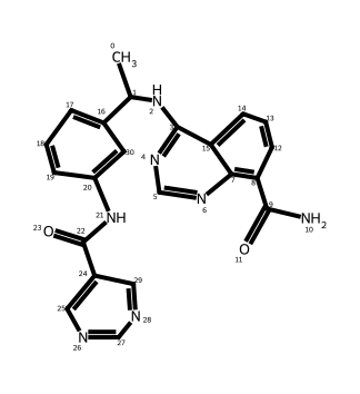 CC(Nc1ncnc2c(C(N)=O)cccc12)c1cccc(NC(=O)c2cncnc2)c1